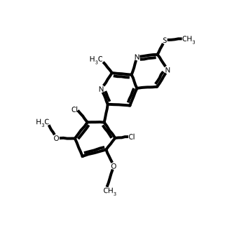 COc1cc(OC)c(Cl)c(-c2cc3cnc(SC)nc3c(C)n2)c1Cl